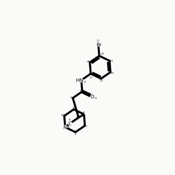 O=C(CC1CN2CCC1CC2)Nc1cccc(Br)c1